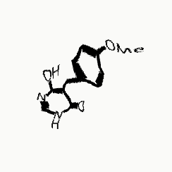 COc1ccc(-c2c(O)nc[nH]c2=O)cc1